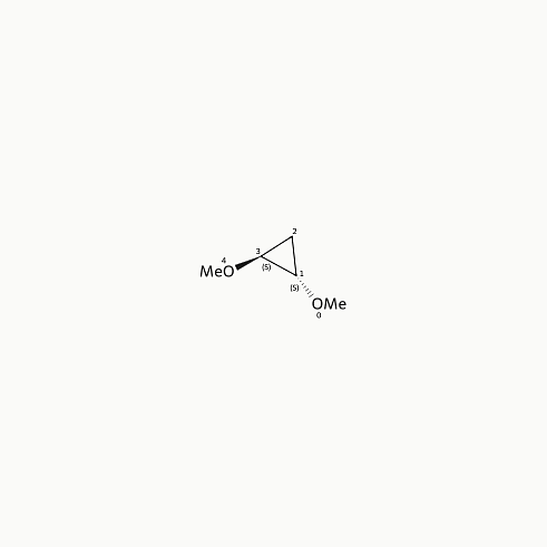 CO[C@H]1C[C@@H]1OC